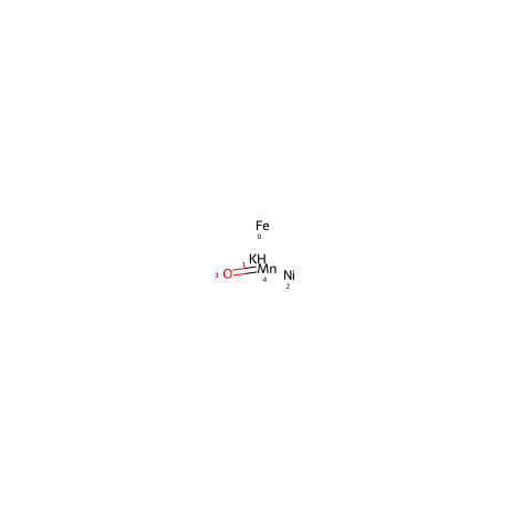 [Fe].[KH].[Ni].[O]=[Mn]